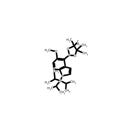 COc1cnc2c(ccn2[Si](C(C)C)(C(C)C)C(C)C)c1B1OC(C)(C)C(C)(C)O1